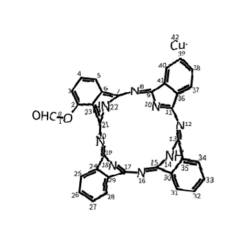 O=COc1cccc2c3nc4nc(nc5[nH]c(nc6nc(nc([nH]3)c12)-c1ccccc1-6)c1ccccc51)-c1ccccc1-4.[Cu]